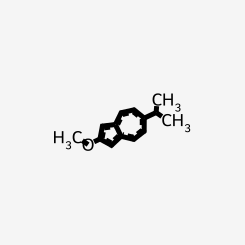 COc1cc2ccc(C(C)C)ccc-2c1